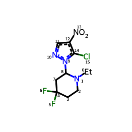 CCN1CCC(F)(F)CC1n1ncc([N+](=O)[O-])c1Cl